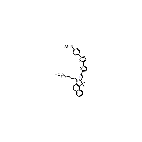 CNc1ccc(-c2ccc(-c3ccc(/C=C/C4=[N+](CCCCS(=O)(=O)O)c5ccc6ccccc6c5C4(C)C)s3)s2)cc1